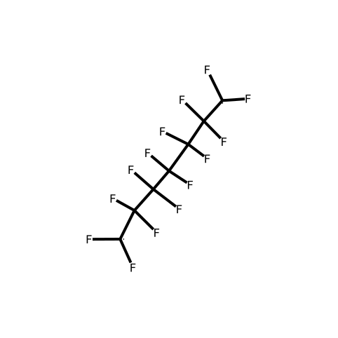 F[C](F)C(F)(F)C(F)(F)C(F)(F)C(F)(F)C(F)(F)[C](F)F